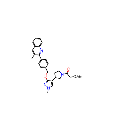 COCC(=O)N1CCC(c2cn(C)nc2OCc2ccc(-c3nc4ccccc4cc3C)cc2)C1